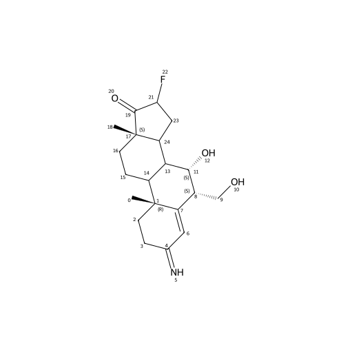 C[C@]12CCC(=N)C=C1[C@@H](CO)[C@@H](O)C1C2CC[C@]2(C)C(=O)C(F)CC12